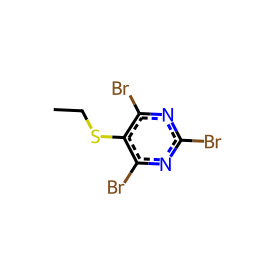 CCSc1c(Br)nc(Br)nc1Br